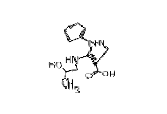 CC(O)CNc1c(C(=O)O)cnn1-c1ccccc1